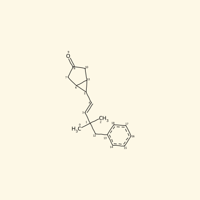 CC(C)(C=CC1C2CC(=O)CC12)Cc1ccccc1